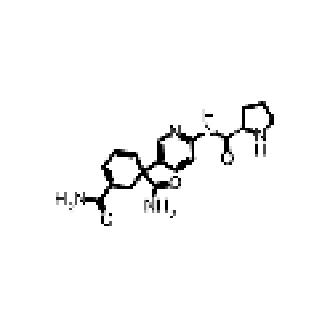 NC(=O)C1=CC=CC(C(N)=O)(c2ccc(NC(=O)[C@H]3CCCN3)nc2)C1